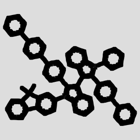 CC1(C)c2ccccc2-c2ccc(-n3c(-c4ccc(-c5ccc(-c6ccccc6)cc5)cc4)c(-c4c(-c5ccc(-c6ccccc6)cc5)n(-c5ccccc5)c5ccccc45)c4ccccc43)cc21